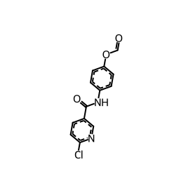 O=COc1ccc(NC(=O)c2ccc(Cl)nc2)cc1